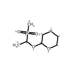 CC(OC1C[N]CCO1)S(C)(=O)=O